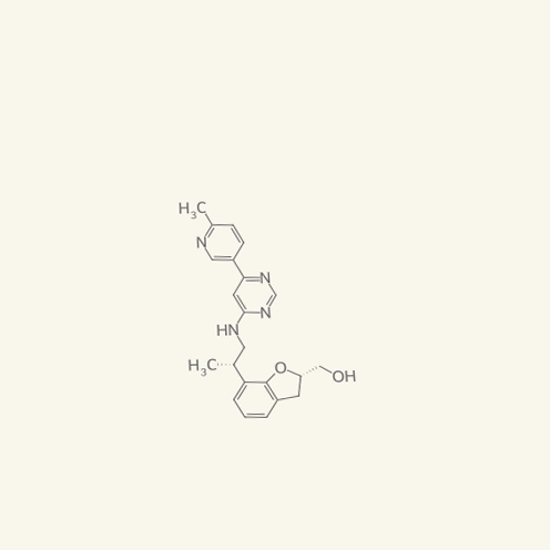 Cc1ccc(-c2cc(NC[C@@H](C)c3cccc4c3O[C@H](CO)C4)ncn2)cn1